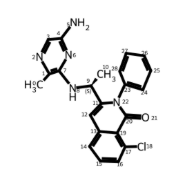 Cc1ncc(N)nc1N[C@@H](C)c1cc2cccc(Cl)c2c(=O)n1-c1ccccc1